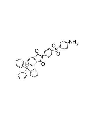 Nc1ccc(S(=O)(=O)c2ccc(N3C(=O)c4ccc([PH](c5ccccc5)(c5ccccc5)c5ccccc5)cc4C3=O)cc2)cc1